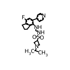 CC(C)N1CC(S(=O)(=O)NCNc2c(-c3ccncc3)cc(F)c3c2CCC3)C1